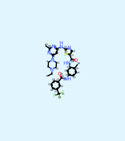 CCN1CCN(c2cc(Nc3ncc(C(=O)Nc4cc(NC(=O)c5cccc(C(F)(F)F)c5)ccc4C)s3)nc(C)n2)CC1